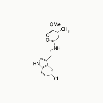 COC(=O)C(C)CC(=O)NCCc1c[nH]c2ccc(Cl)cc12